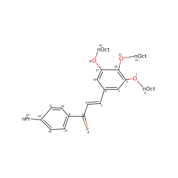 CCCCCCCCOc1cc(C=CC(=S)c2ccc(CCC)cc2)cc(OCCCCCCCC)c1OCCCCCCCC